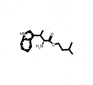 CC(C)CCOC(=O)[C@@H](N)C(C)c1c[nH]c2ccccc12